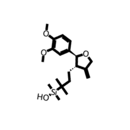 C=C1CO[C@H](c2ccc(OC)c(OC)c2)[C@H]1CCC(C)(C)[Si](C)(C)O